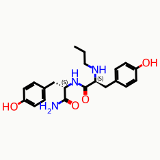 CCCN[C@@H](Cc1ccc(O)cc1)C(=O)N[C@@H](Cc1ccc(O)cc1)C(N)=O